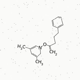 C=C(CCCc1ccccc1)ON1C=C(C)C=C(C)C1